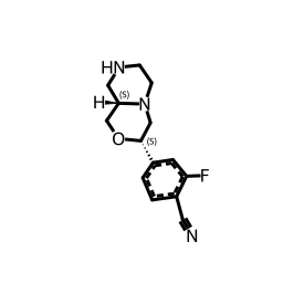 N#Cc1ccc([C@H]2CN3CCNC[C@H]3CO2)cc1F